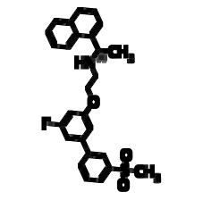 C[C@@H](NCCOc1cc(F)cc(-c2cccc(S(C)(=O)=O)c2)c1)c1cccc2ccccc12